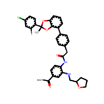 COC(=O)c1ccc(NC(=O)Cc2ccc(-c3cccc4c3OC(C)(c3ccc(Cl)cc3F)O4)cc2)c(NCC2CCCO2)c1